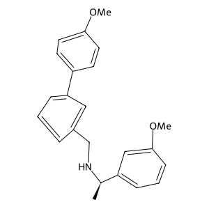 COc1ccc(-c2cccc(CN[C@H](C)c3cccc(OC)c3)c2)cc1